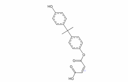 CC(C)(c1ccc(O)cc1)c1ccc(OC(=O)/C=C\C(=O)O)cc1